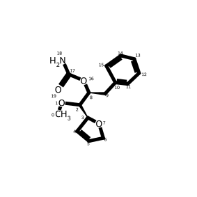 COC([C@@H]1C=CCO1)[C@H](Cc1ccccc1)OC(N)=O